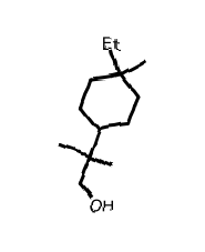 CCC1(C)CCC(C(C)(C)CO)CC1